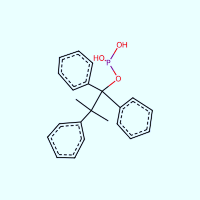 CC(C)(c1ccccc1)C(OP(O)O)(c1ccccc1)c1ccccc1